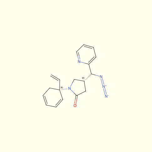 C=C[C@@]1(N2C[C@H](C(N=[N+]=[N-])c3ccccn3)CC2=O)C=CC=CC1